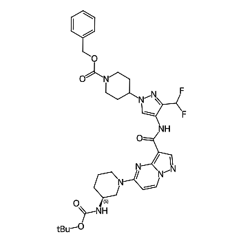 CC(C)(C)OC(=O)N[C@H]1CCCN(c2ccn3ncc(C(=O)Nc4cn(C5CCN(C(=O)OCc6ccccc6)CC5)nc4C(F)F)c3n2)C1